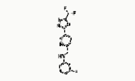 Fc1cccc(NCc2ccc(-c3nnc(C(F)F)o3)cn2)c1